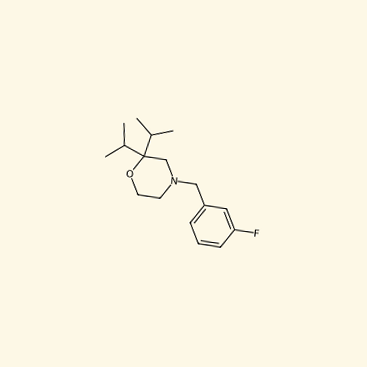 CC(C)C1(C(C)C)CN(Cc2cccc(F)c2)CCO1